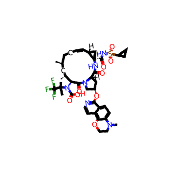 C[C@H]1CCC=C[C@@H]2C[C@@]2(C(=O)NS(=O)(=O)C2CC2)NC(=O)[C@@H]2C[C@@H](Oc3nccc4c5c(ccc34)N(C)CCO5)CN2C(=O)[C@@H](N(C(=O)O)C(C)(C)C(F)(F)F)[C@H](C)C1